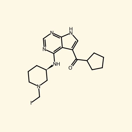 O=C(c1c[nH]c2ncnc(N[C@@H]3CCCN(CI)C3)c12)C1CCCC1